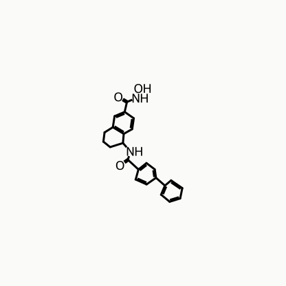 O=C(NO)c1ccc2c(c1)CCCC2NC(=O)c1ccc(-c2ccccc2)cc1